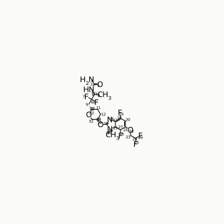 C[C@H](NC(N)=O)C(F)(F)C[C@@H]1CC[C@@H](OC2=NC3=C(F)C=C(OCC(F)F)C(F)C3N2C)CO1